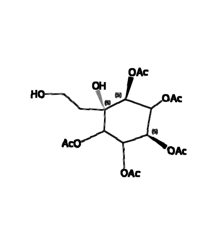 CC(=O)OC1C(OC(C)=O)[C@@](O)(CCO)[C@@H](OC(C)=O)C(OC(C)=O)[C@H]1OC(C)=O